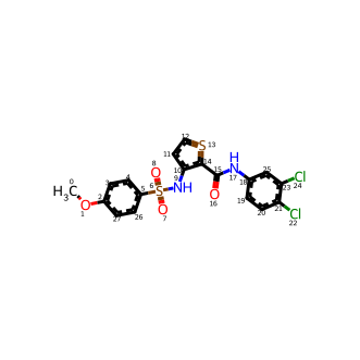 COc1ccc(S(=O)(=O)Nc2ccsc2C(=O)Nc2ccc(Cl)c(Cl)c2)cc1